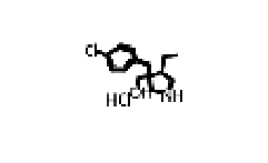 CCC1CNCC1(CO)Cc1ccc(Cl)cc1.Cl